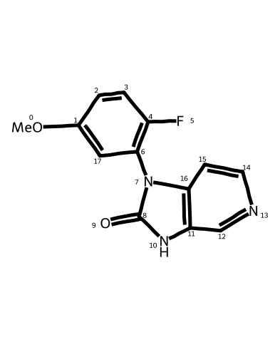 COc1ccc(F)c(-n2c(=O)[nH]c3cnccc32)c1